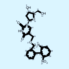 O=c1[nH]c(=O)n([C@H]2C[C@H](O)[C@@H](CO)O2)cc1COCc1ccccc1-c1c([N+](=O)[O-])cccc1[N+](=O)[O-]